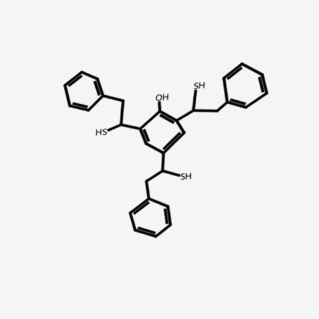 Oc1c(C(S)Cc2ccccc2)cc(C(S)Cc2ccccc2)cc1C(S)Cc1ccccc1